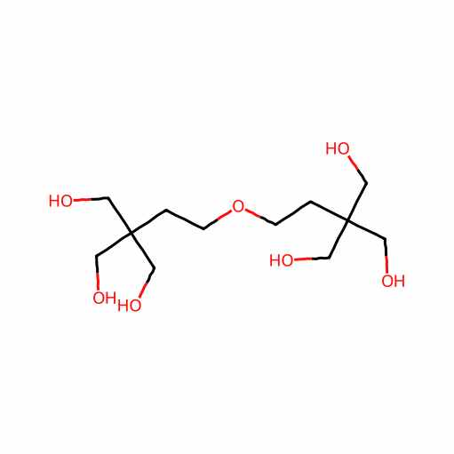 OCC(CO)(CO)CCOCCC(CO)(CO)CO